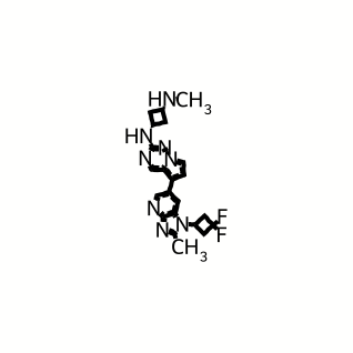 CN[C@H]1C[C@H](Nc2ncc3c(-c4cnc5nc(C)n(C6CC(F)(F)C6)c5c4)ccn3n2)C1